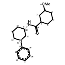 COC1CCCC(C(=O)N[C@H]2CCCN(c3ccccc3)C2)C1